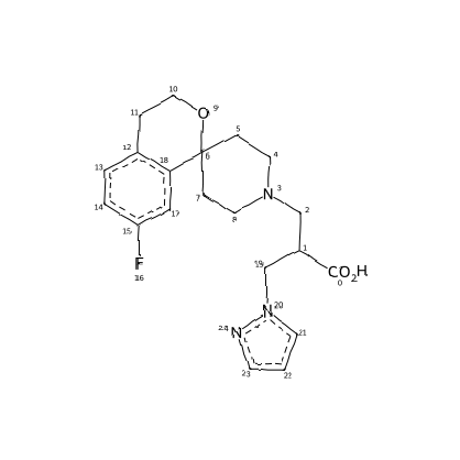 O=C(O)C(CN1CCC2(CC1)OCCc1ccc(F)cc12)Cn1cccn1